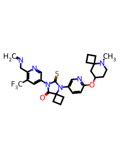 C=NCc1ncc(N2C(=O)C3(CCC3)N(c3ccc(OC4CCN(C)C5(CCC5)C4)nc3)C2=S)cc1C(F)(F)F